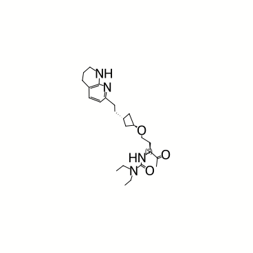 CCN(CC)C(=O)N[C@@H](CCO[C@H]1C[C@H](CCc2ccc3c(n2)NCCC3)C1)C(C)=O